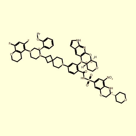 CC(C)Oc1ccccc1[C@@H]1CN(c2c(F)cc(F)c3c2CCCO3)CCN1C1CC2(CCN(c3ccc(C(=O)NS(=O)(=O)c4cc5c(c([N+](=O)[O-])c4)N[C@H](C4CCOCC4)CO5)c(N4c5cc6cc[nH]c6nc5O[C@H]5COCC[C@@H]54)c3)CC2)C1